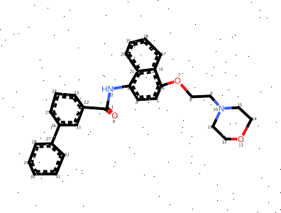 O=C(Nc1ccc(OCCN2CCOCC2)c2ccccc12)c1cccc(-c2ccccc2)c1